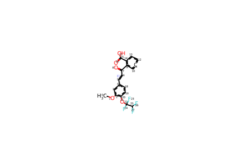 COc1cc(/C=C/C(=O)c2ccccc2C(=O)O)ccc1OC(F)(F)C(F)F